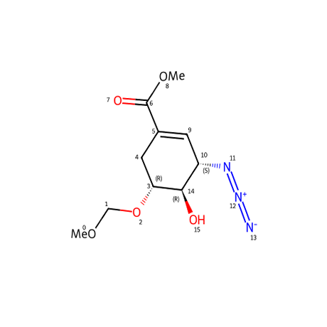 COCO[C@@H]1CC(C(=O)OC)=C[C@H](N=[N+]=[N-])[C@H]1O